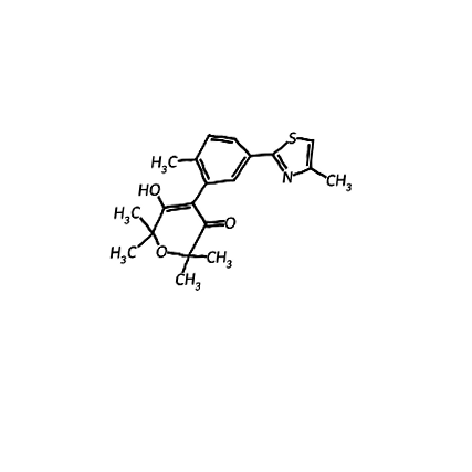 Cc1csc(-c2ccc(C)c(C3=C(O)C(C)(C)OC(C)(C)C3=O)c2)n1